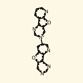 c1cnc2oc3c[n+](-c4cnc5c(c4)oc4cncnc45)cnc3c2c1